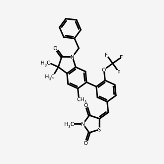 Cc1cc2c(cc1-c1cc(C=C3SC(=O)N(C)C3=O)ccc1OC(F)(F)F)N(Cc1ccccc1)C(=O)C2(C)C